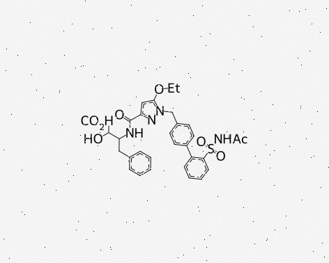 CCOc1cc(C(=O)NC(Cc2ccccc2)C(O)C(=O)O)nn1Cc1ccc(-c2ccccc2S(=O)(=O)NC(C)=O)cc1